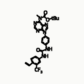 C=Cc1ccc(NC(=O)Nc2ccc(-n3cnc4c(N(C)C(=O)OC(C)(C)C)ncnc43)cc2)cc1C(F)(F)F